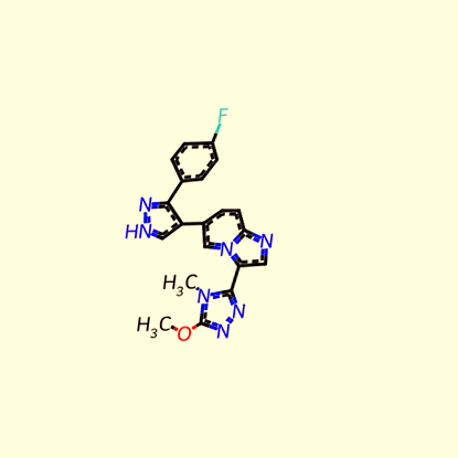 COc1nnc(-c2cnc3ccc(-c4c[nH]nc4-c4ccc(F)cc4)cn23)n1C